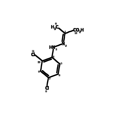 CC(=NNc1ccc(Cl)cc1Cl)C(=O)O